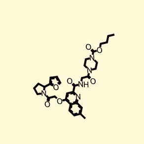 CCCCOC(=O)N1CCN(C(=O)CNC(=O)c2cc(OCC(=O)N3CCCC3c3ccco3)c3ccc(C)cc3n2)CC1